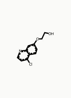 OCCOc1ccc2c(Cl)ccnc2c1